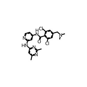 Cc1cc(Nc2cc(NC(=O)c3c(Cl)cc(CN(C)C)cc3Cl)ccn2)nc(C)n1